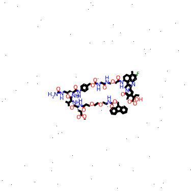 CC[C@@]1(O)C(=O)OCc2c1cc1n(c2=O)Cc2c-1nc1cc(F)c(C)c3c1c2[C@@H](NC(=O)COCNC(=O)CNC(=O)OCc1ccc(NC(=O)[C@H](CCCNC(N)=O)NC(=O)[C@@H](NC(=O)[C@@H](CCC(=O)OC)NC(=O)CCOCCOCCNC(=O)OCC2c4ccccc4-c4ccccc42)C(C)C)cc1)CC3